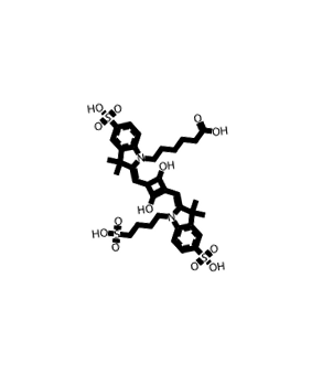 CC1(C)C(=CC2C(O)=C(C=C3N(CCCCS(=O)(=O)O)c4ccc(S(=O)(=O)O)cc4C3(C)C)C2O)N(CCCCCC(=O)O)c2ccc(S(=O)(=O)O)cc21